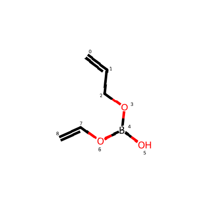 C=CCOB(O)OC=C